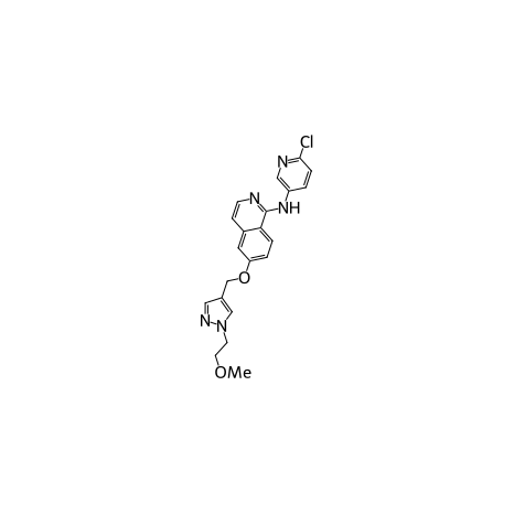 COCCn1cc(COc2ccc3c(Nc4ccc(Cl)nc4)nccc3c2)cn1